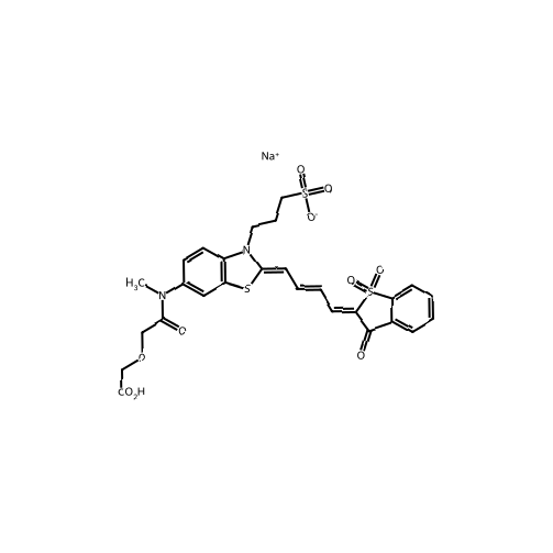 CN(C(=O)COCC(=O)O)c1ccc2c(c1)SC(=CC=CC=C1C(=O)c3ccccc3S1(=O)=O)N2CCCS(=O)(=O)[O-].[Na+]